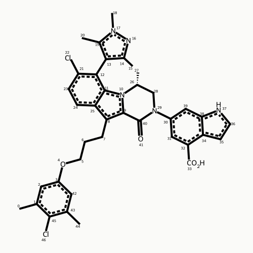 Cc1cc(OCCCc2c3n(c4c(-c5c(C)nn(C)c5C)c(Cl)ccc24)[C@H](C)CN(c2cc(C(=O)O)c4cc[nH]c4c2)C3=O)cc(C)c1Cl